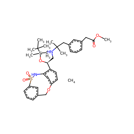 C.COC(=O)Cc1cccc(CC(C)(C)NC[C@H](O[Si](C)(C)C(C)(C)C)c2ccc3cc2NS(=O)(=O)c2cccc(c2)CO3)c1